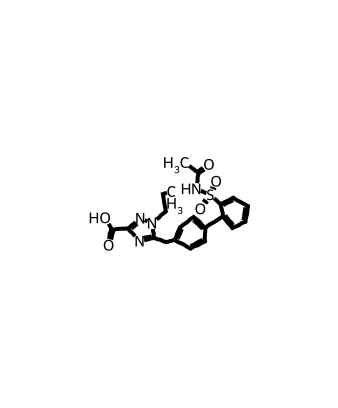 CCCn1nc(C(=O)O)nc1Cc1ccc(-c2ccccc2S(=O)(=O)NC(C)=O)cc1